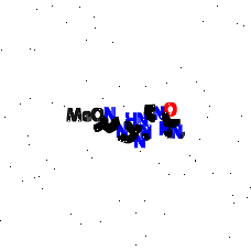 COc1ncc(N2CCc3ncnc(NC4CCN(C(=O)c5cn(C)cn5)C4)c3C2)cc1C